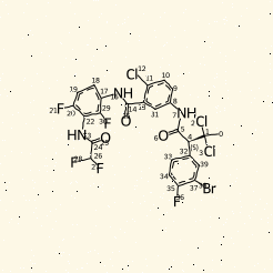 CC(Cl)(Cl)[C@H](C(=O)Nc1ccc(Cl)c(C(=O)Nc2ccc(F)c(NC(=O)C(F)F)c2F)c1)c1ccc(F)c(Br)c1